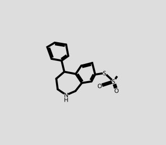 CS(=O)(=O)Sc1ccc2c(c1)CNCCC2c1ccccc1